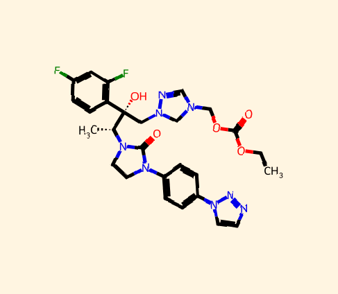 CCOC(=O)OCN1C=NN(C[C@](O)(c2ccc(F)cc2F)[C@@H](C)N2CCN(c3ccc(-n4ccnn4)cc3)C2=O)C1